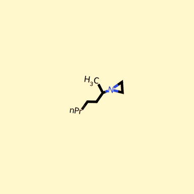 CCCCCC(C)N1CC1